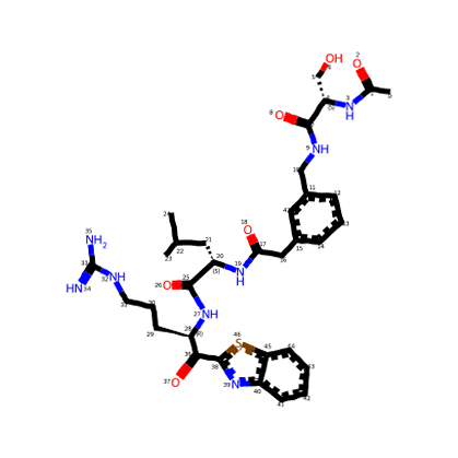 CC(=O)N[C@@H](CO)C(=O)NCc1cccc(CC(=O)N[C@@H](CC(C)C)C(=O)N[C@H](CCCNC(=N)N)C(=O)c2nc3ccccc3s2)c1